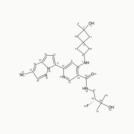 CC1(O)CC2(CC(Nc3cc(-c4ccc5cc(C#N)cnn45)ncc3C(=O)NC[C@@H](F)C(C)(C)O)C2)C1